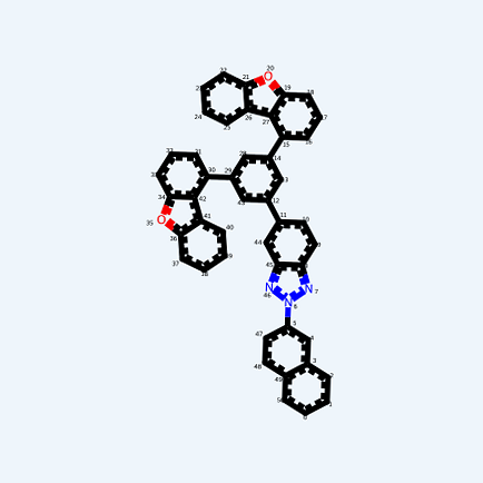 c1ccc2cc(-n3nc4ccc(-c5cc(-c6cccc7oc8ccccc8c67)cc(-c6cccc7oc8ccccc8c67)c5)cc4n3)ccc2c1